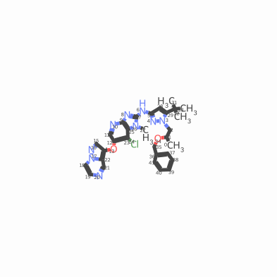 CC(Cn1nc(Nc2nc3ncc(Oc4cnn5ccncc45)c(Cl)c3n2C)cc1C(C)(C)C)OCc1ccccc1